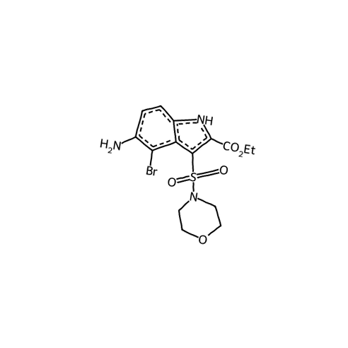 CCOC(=O)c1[nH]c2ccc(N)c(Br)c2c1S(=O)(=O)N1CCOCC1